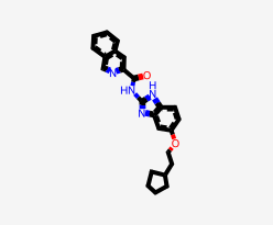 O=C(Nc1nc2cc(OCCC3CCCC3)ccc2[nH]1)c1cc2ccccc2cn1